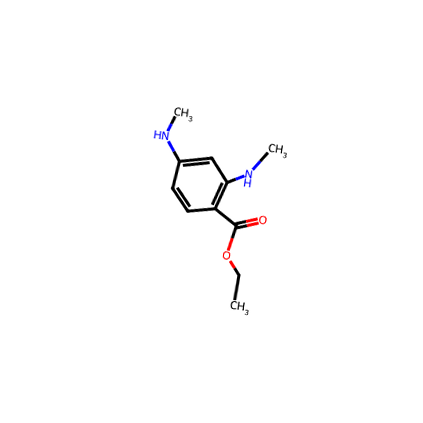 CCOC(=O)c1ccc(NC)cc1NC